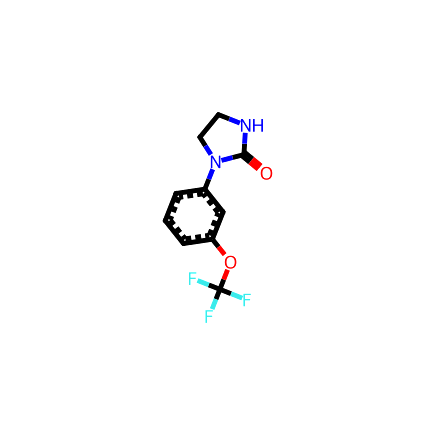 O=C1NCCN1c1cccc(OC(F)(F)F)c1